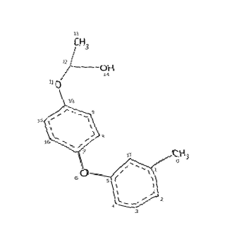 Cc1cccc(Oc2ccc(OC(C)O)cc2)c1